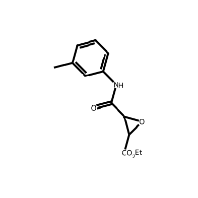 CCOC(=O)C1OC1C(=O)Nc1cccc(C)c1